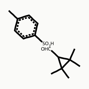 CC1(C)C(C=O)C1(C)C.Cc1ccc(S(=O)(=O)O)cc1